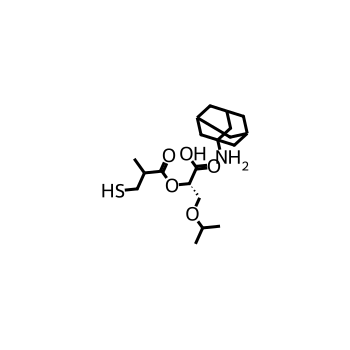 CC(C)OC[C@H](OC(=O)C(C)CS)C(=O)O.NC12CC3CC(CC(C3)C1)C2